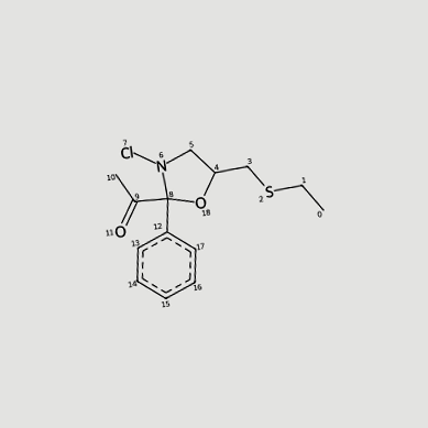 CCSCC1CN(Cl)C(C(C)=O)(c2ccccc2)O1